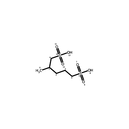 CC(CCCS(=O)(=O)O)CS(=O)(=O)O